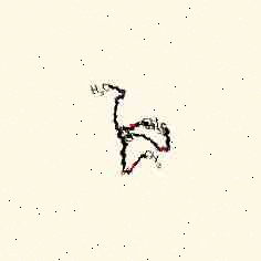 CCCCC/C=C\C/C=C\CCCCCCCCC(CCCCCCCC/C=C\C/C=C\CCCCC)N(CCCCCN(C)C)C(=O)CCCCCCC/C=C\C/C=C\CCCCC